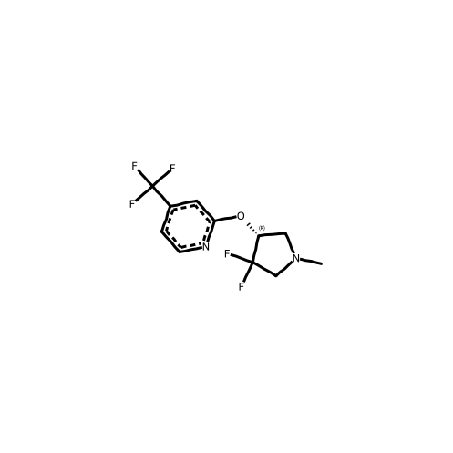 CN1C[C@@H](Oc2cc(C(F)(F)F)ccn2)C(F)(F)C1